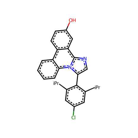 CC(C)c1cc(Cl)cc(C(C)C)c1-c1cnc2c3cc(O)ccc3c3ccccc3n12